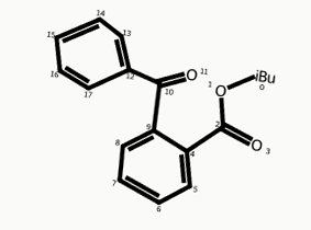 CCC(C)OC(=O)c1ccccc1C(=O)c1ccccc1